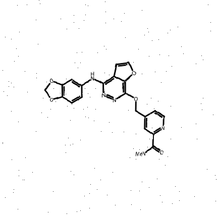 CNC(=O)c1cc(COc2nnc(Nc3ccc4c(c3)OCO4)c3ccoc23)ccn1